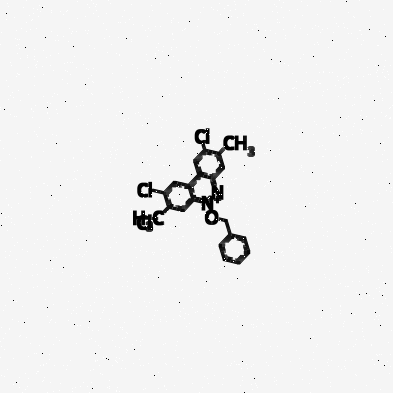 Cc1cc2n[n+](OCc3ccccc3)c3cc(C)c(Cl)cc3c2cc1Cl.[Cl-]